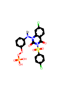 CC(=O)N(c1cccc(OOP(=O)(O)O)c1)n1c(=O)n(S(=O)(=O)c2ccc(Cl)cc2)c(=O)c2ccc(Cl)cc21